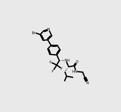 CC(C)C[C@H](N[C@@H](c1ccc(-c2cncc(Br)c2)cc1)C(F)(F)F)C(=O)NCC#N